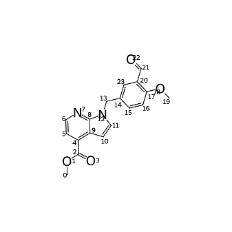 COC(=O)c1ccnc2c1ccn2Cc1ccc(OC)c(C=O)c1